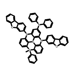 C[Si]1(c2ccccc2)c2cccc3c2B2c4c(cc(N(c5ccccc5)c5ccccc5)cc4N(c4ccc5c(c4)oc4ccccc45)c4cccc1c42)N3c1ccc2c(c1)oc1ccccc12